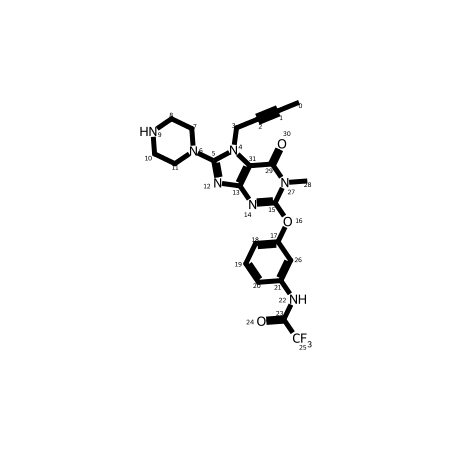 CC#CCn1c(N2CCNCC2)nc2nc(Oc3cccc(NC(=O)C(F)(F)F)c3)n(C)c(=O)c21